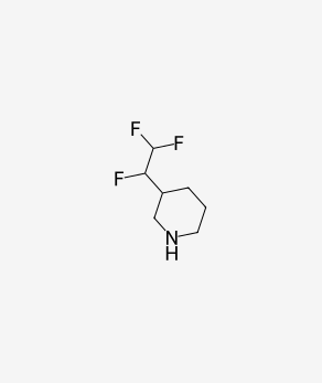 FC(F)C(F)C1CCCNC1